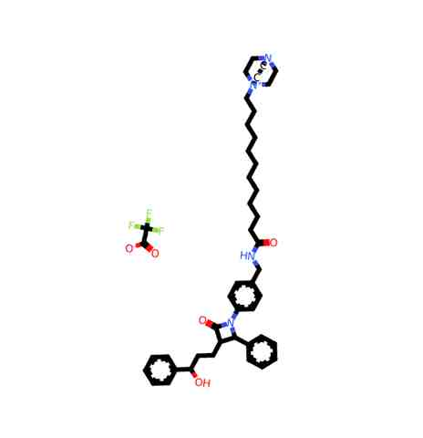 O=C(CCCCCCCCCCC[N+]12CCN(CC1)CC2)NCc1ccc(N2C(=O)C(CCC(O)c3ccccc3)C2c2ccccc2)cc1.O=C([O-])C(F)(F)F